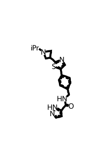 CC(C)N1CC(c2ncc(-c3ccc(CNC(=O)c4ccn[nH]4)cc3)s2)C1